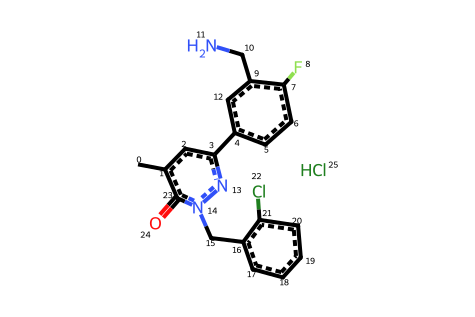 Cc1cc(-c2ccc(F)c(CN)c2)nn(Cc2ccccc2Cl)c1=O.Cl